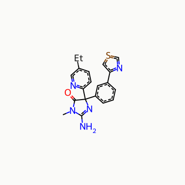 CCc1ccc(C2(c3cccc(-c4cscn4)c3)N=C(N)N(C)C2=O)nc1